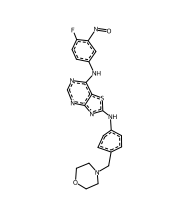 O=Nc1cc(Nc2ncnc3nc(Nc4ccc(CN5CCOCC5)cc4)sc23)ccc1F